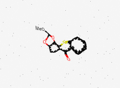 COC1Oc2ccc3c(=O)c4ccccc4sc3c2O1